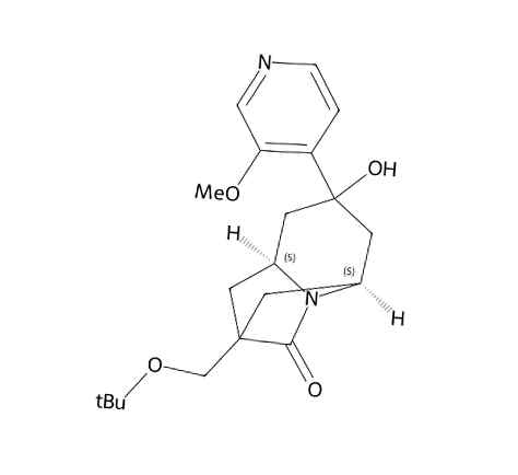 COc1cnccc1C1(O)C[C@@H]2CC3(COC(C)(C)C)C[C@@H](C1)N2C3=O